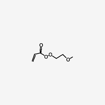 C=CC(=O)OOCCOC